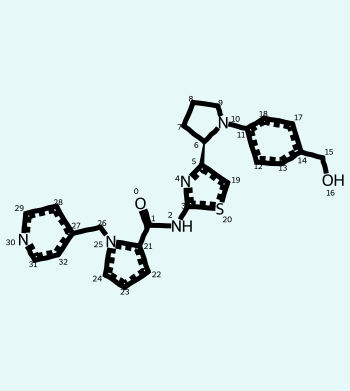 O=C(Nc1nc([C@H]2CCCN2c2ccc(CO)cc2)cs1)c1cccn1Cc1ccncc1